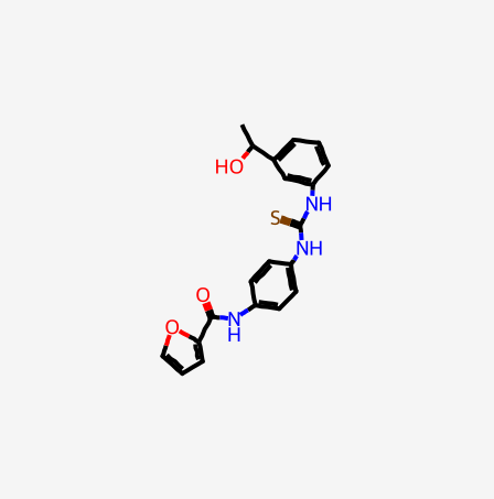 CC(O)c1cccc(NC(=S)Nc2ccc(NC(=O)c3ccco3)cc2)c1